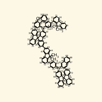 CC1(C)c2ccccc2-c2cccc(-c3ccc(N(c4ccc5c(c4)C4(c6ccccc6-c6ccccc64)c4ccc(-c6ccc7c(c6)-c6cccc(-c8ccc(N(c9ccc%10c(c9)C9(c%11ccccc%11-c%11ccccc%119)c9ccccc9-%10)c9ccc%10ccccc%10c9)cc8)c6C7(C)C)cc4-5)c4cccc5oc6ccccc6c45)cc3)c21